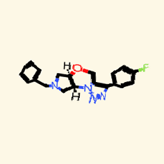 Fc1ccc(-c2nnn3c2CO[C@@H]2CN(Cc4ccccc4)C[C@H]23)cc1